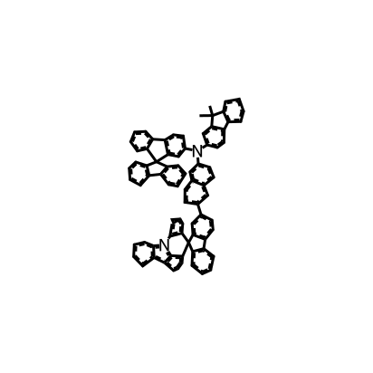 CC1(C)c2ccccc2-c2ccc(N(c3ccc4c(c3)C3(c5ccccc5-c5ccccc53)c3ccccc3-4)c3ccc4cc(-c5ccc6c(c5)C5(c7ccccc7-6)c6ccccc6-n6c7ccccc7c7cccc5c76)ccc4c3)cc21